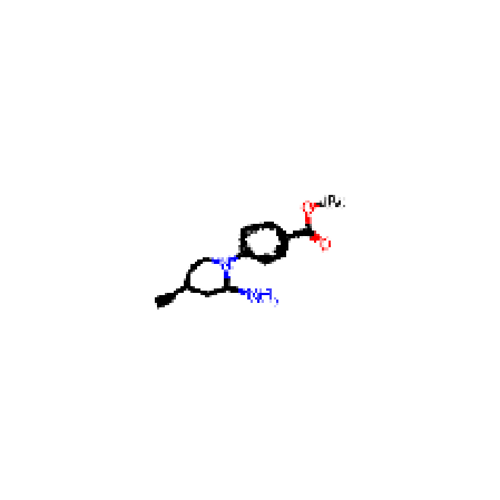 C#CC1CCN(c2ccc(C(=O)OC(C)(C)C)cc2)C(N)C1